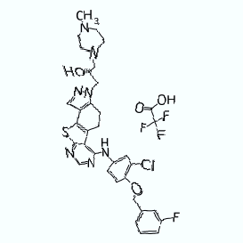 CN1CCN(C[C@@H](O)Cn2ncc3c2CCc2c-3sc3ncnc(Nc4ccc(OCc5cccc(F)c5)c(Cl)c4)c23)CC1.O=C(O)C(F)(F)F